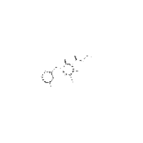 CC(C)c1nn(Cc2cccc(C#N)c2)c(=O)c(C(=O)NCC(=O)O)c1O